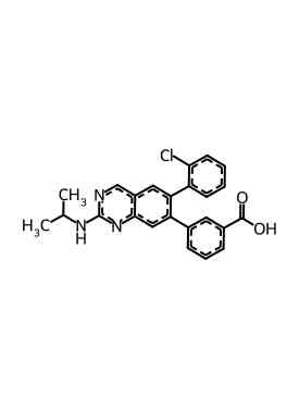 CC(C)Nc1ncc2cc(-c3ccccc3Cl)c(-c3cccc(C(=O)O)c3)cc2n1